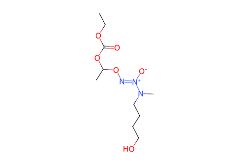 CCOC(=O)OC(C)ON=[N+]([O-])N(C)CCCCO